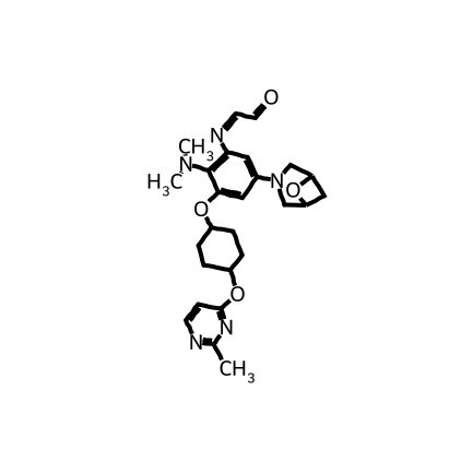 Cc1nccc(OC2CCC(Oc3cc(N4CC5CC(C4)O5)cc(/N=C\C=O)c3N(C)C)CC2)n1